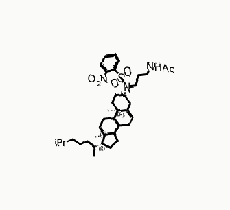 CC(=O)NCCCN([C@H]1CC[C@@]2(C)C(=CCC3C2CC[C@@]2(C)C3CC[C@@H]2C(C)CCCC(C)C)C1)S(=O)(=O)c1ccccc1[N+](=O)[O-]